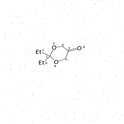 CCC1(CC)OCC(=O)CO1